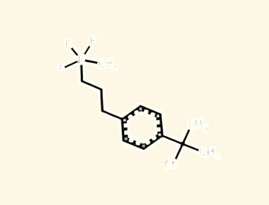 CCC(C)(C)c1ccc(CCCP(C)(F)(F)F)cc1